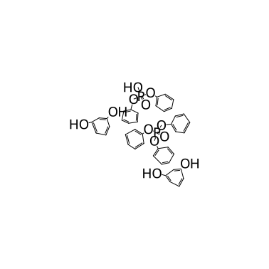 O=P(O)(Oc1ccccc1)Oc1ccccc1.O=P(Oc1ccccc1)(Oc1ccccc1)Oc1ccccc1.Oc1cccc(O)c1.Oc1cccc(O)c1